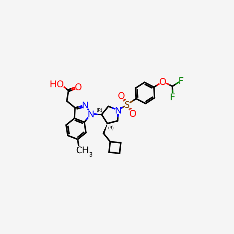 Cc1ccc2c(CC(=O)O)nn([C@H]3CN(S(=O)(=O)c4ccc(OC(F)F)cc4)C[C@H]3CC3CCC3)c2c1